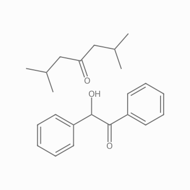 CC(C)CC(=O)CC(C)C.O=C(c1ccccc1)C(O)c1ccccc1